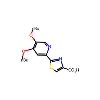 CCCCOc1cnc(-c2nc(C(=O)O)cs2)cc1OCCCC